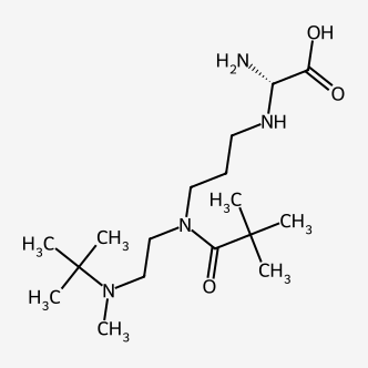 CN(CCN(CCCN[C@H](N)C(=O)O)C(=O)C(C)(C)C)C(C)(C)C